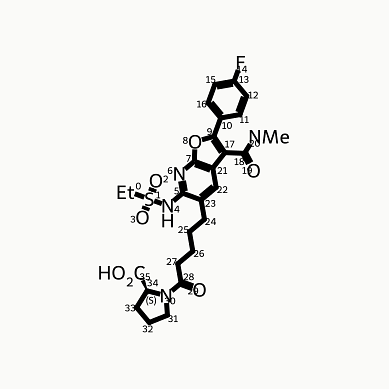 CCS(=O)(=O)Nc1nc2oc(-c3ccc(F)cc3)c(C(=O)NC)c2cc1CCCCC(=O)N1CCC[C@H]1C(=O)O